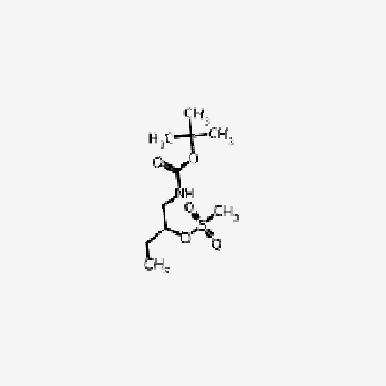 CC[C@@H](CNC(=O)OC(C)(C)C)OS(C)(=O)=O